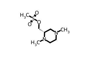 CN1CCN(C)[C@H](COS(C)(=O)=O)C1